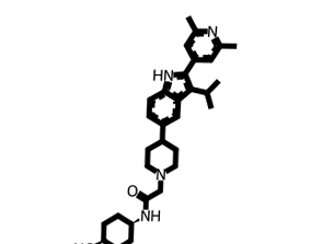 Cc1cc(-c2[nH]c3ccc(C4CCN(CC(=O)N[C@H]5CC[C@H](O)CC5)CC4)cc3c2C(C)C)cc(C)n1